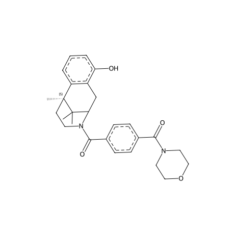 CC1(C)C2Cc3c(O)cccc3[C@]1(C)CCN2C(=O)c1ccc(C(=O)N2CCOCC2)cc1